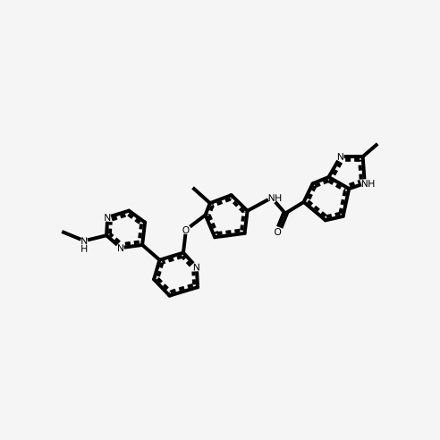 CNc1nccc(-c2cccnc2Oc2ccc(NC(=O)c3ccc4[nH]c(C)nc4c3)cc2C)n1